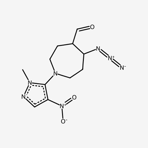 Cn1ncc([N+](=O)[O-])c1N1CCC(C=O)C(N=[N+]=[N-])CC1